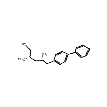 CCOC(=O)[C@H](CC#N)C[C@H](N)Cc1ccc(-c2ccccc2)cc1